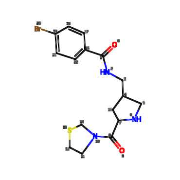 O=C(NCC1CNC(C(=O)N2CCSC2)C1)c1ccc(Br)cc1